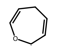 [CH]1C=CCC=CO1